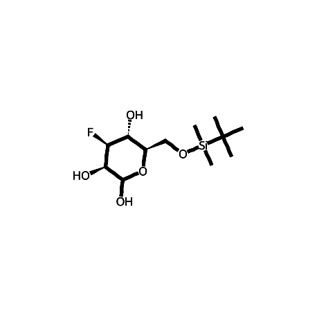 CC(C)(C)[Si](C)(C)OC[C@H]1OC(O)[C@@H](O)[C@@H](F)[C@@H]1O